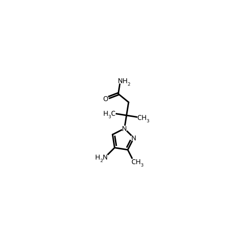 Cc1nn(C(C)(C)CC(N)=O)cc1N